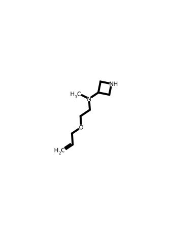 C=CCOCCN(C)C1CNC1